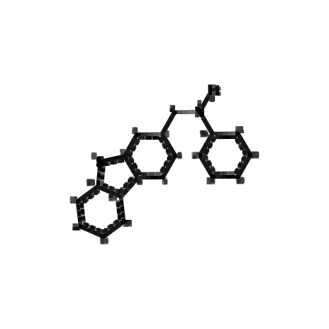 CCN(Cc1ccc2c(c1)sc1ccccc12)c1ccccc1